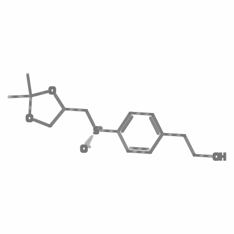 CC1(C)OCC(C[S@@+]([O-])c2ccc(CCO)cc2)O1